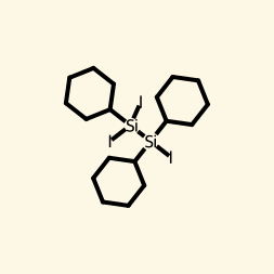 I[Si](I)(C1CCCCC1)[Si](I)(C1CCCCC1)C1CCCCC1